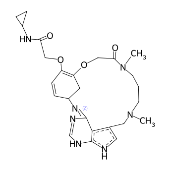 CN1CCCN(C)C(=O)COC2=C(OCC(=O)NC3CC3)C=CC(C2)/N=C2\N=CNc3[nH]cc(c32)C1